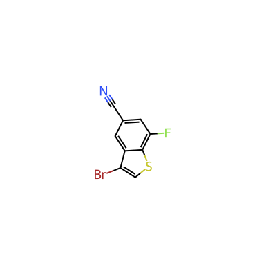 N#Cc1cc(F)c2scc(Br)c2c1